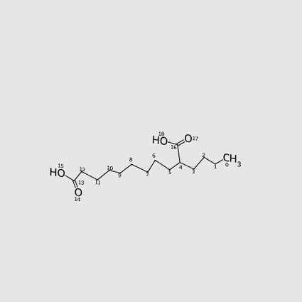 CCCCC(CCCCCCCCC(=O)O)C(=O)O